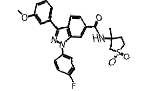 COc1cccc(-c2nn(-c3ccc(F)cc3)c3cc(C(=O)NC4(C)CCS(=O)(=O)C4)ccc23)c1